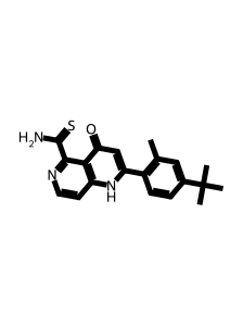 Cc1cc(C(C)(C)C)ccc1-c1cc(=O)c2c(C(N)=S)nccc2[nH]1